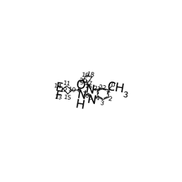 Cc1ccc2nc(NC(=O)C3CC(F)(F)C3)n(C3CCC3)c2c1